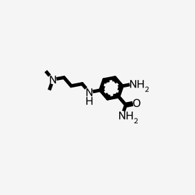 CN(C)CCCNc1ccc(N)c(C(N)=O)c1